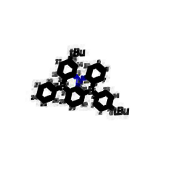 CC(C)(C)c1ccc(B2c3ccccc3N3c4cc(C(C)(C)C)ccc4B(c4ccccc4)c4cccc2c43)cc1